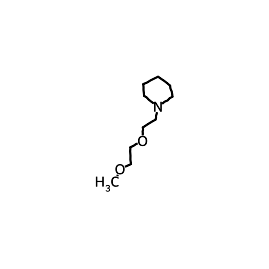 COCCOCCN1CCCCC1